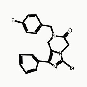 O=C1Cn2c(Br)nc(-c3ccccc3)c2CN1Cc1ccc(F)cc1